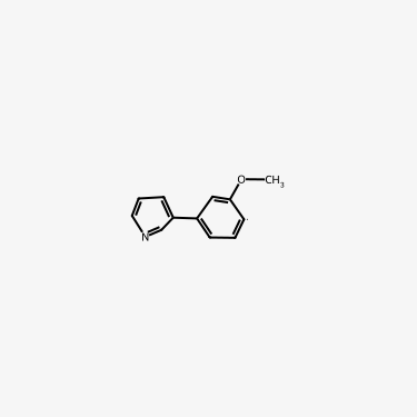 COc1[c]ccc(-c2cccnc2)c1